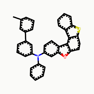 Cc1cccc(-c2cccc(N(c3ccccc3)c3ccc4c(c3)oc3ccc5sc6ccccc6c5c34)c2)c1